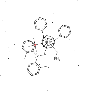 Cc1ccccc1P(C[C]12[C]3(CP)[C]4(c5ccccc5)[C]5(c6ccccc6)[C]1(C(C)(C)C)[Fe]32451678[CH]2[CH]1[CH]6[CH]7[CH]28)c1ccccc1C